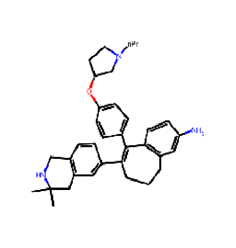 CCCN1CC[C@H](Oc2ccc(C3=C(c4ccc5c(c4)CC(C)(C)NC5)CCCc4cc(N)ccc43)cc2)C1